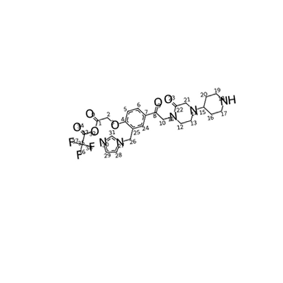 O=C(COc1ccc(C(=O)CN2CCN(C3CCNCC3)CC2=O)cc1Cn1ccnc1)OC(=O)C(F)(F)F